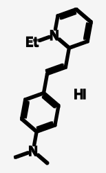 CCN1C=CC=CC1C=Cc1ccc(N(C)C)cc1.I